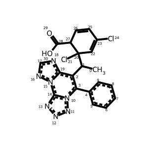 CC(c1c(-c2ccccc2)n2nnnc2n2ncnc12)C1(Cl)C=C(Cl)C=CC1C(=O)O